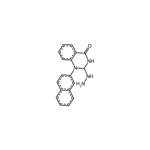 NNC1NC(=O)c2ccccc2N1c1ccc2ccccc2c1